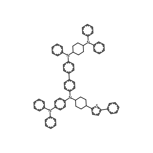 c1ccc(-c2ccc(C3CCC(N(c4ccc(-c5ccc(N(c6ccccc6)C6CCC(N(c7ccccc7)c7ccccc7)CC6)cc5)cc4)c4ccc(N(c5ccccc5)c5ccccc5)cc4)CC3)s2)cc1